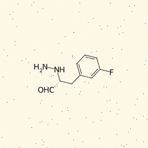 NN[C@@H](C=O)Cc1cccc(F)c1